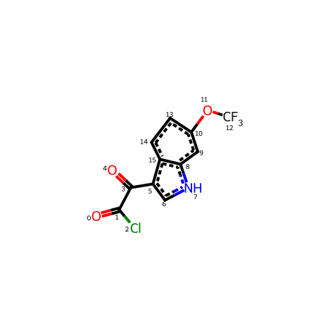 O=C(Cl)C(=O)c1c[nH]c2cc(OC(F)(F)F)ccc12